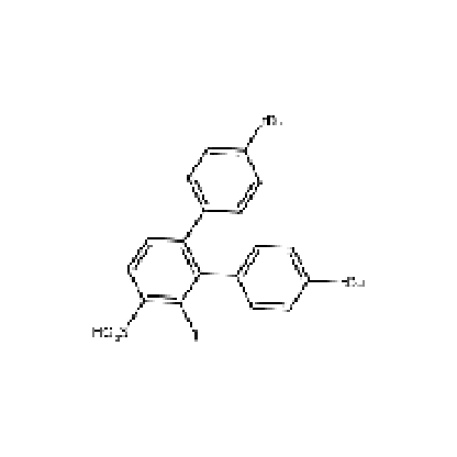 CC(C)(C)c1ccc(-c2ccc(S(=O)(=O)O)c(I)c2-c2ccc(C(C)(C)C)cc2)cc1